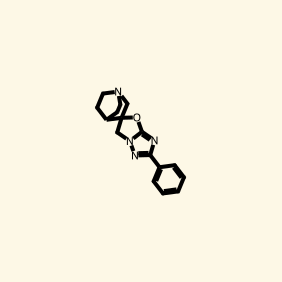 c1ccc(-c2nc3n(n2)CC2(CN4CCC2CC4)O3)cc1